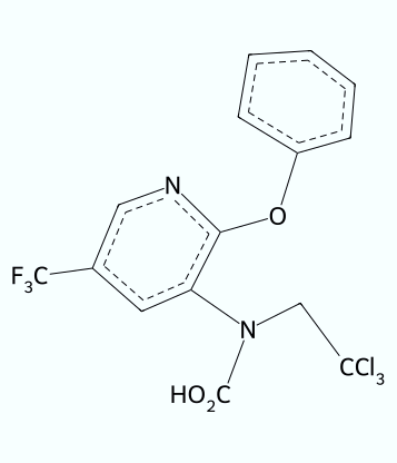 O=C(O)N(CC(Cl)(Cl)Cl)c1cc(C(F)(F)F)cnc1Oc1ccccc1